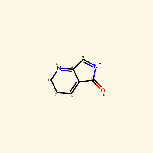 O=C1N=CC2=NCCC=C12